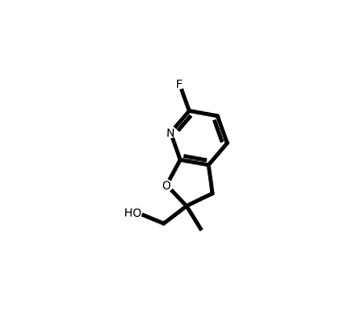 CC1(CO)Cc2ccc(F)nc2O1